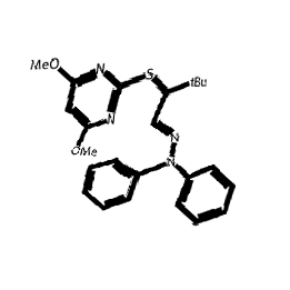 COc1cc(OC)nc(SC(/C=N/N(c2ccccc2)c2ccccc2)C(C)(C)C)n1